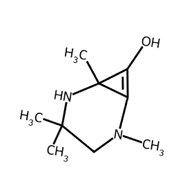 CN1CC(C)(C)NC2(C)C(O)=C12